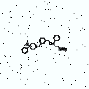 CNCC[C@H](OCc1cccc(CN2CCC(c3ccccc3)(N(C)C)CC2)c1)c1ccccc1